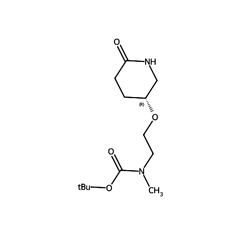 CN(CCO[C@@H]1CCC(=O)NC1)C(=O)OC(C)(C)C